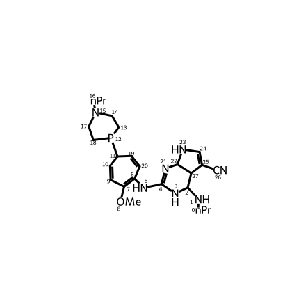 CCCNC1NC(NC2=C(OC)C=CC(P3CCN(CCC)CC3)C=C2)=NC2NC=C(C#N)C21